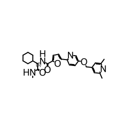 CNC(=O)[C@@H](NC(=O)c1ccc(-c2ccc(OCc3cc(C)nc(C)c3)cn2)o1)C1CCCCC1